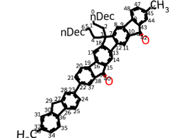 CCCCCCCCCCCCC1(CCCCCCCCCCCC)c2cc3c(cc2-c2cc4c(cc21)-c1ccc(-c2ccc5c(c2)Cc2cc(C)ccc2-5)cc1C4=O)C(=O)c1cc(C)ccc1-3